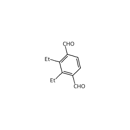 CCc1c(C=O)ccc(C=O)c1CC